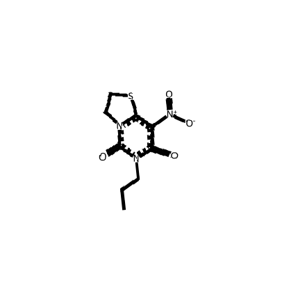 CCCn1c(=O)c([N+](=O)[O-])c2n(c1=O)CCS2